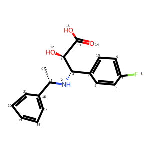 C[C@H](N[C@@H](c1ccc(F)cc1)[C@@H](O)C(=O)O)c1ccccc1